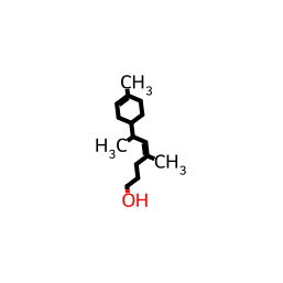 CC(=CC(C)C1CC=C(C)CC1)CCCO